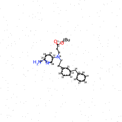 CC(C)(C)OC(=O)CCN(CCc1cccc(Cc2ccccc2)c1)c1ccc(N)nc1